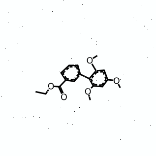 CCOC(=O)c1cccc(-c2c(OC)cc(OC)cc2OC)c1